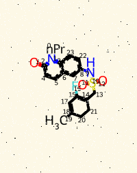 CCCn1c(=O)ccc2cc(NS(=O)(=O)CC3=C(F)C=C(C)CC3)ccc21